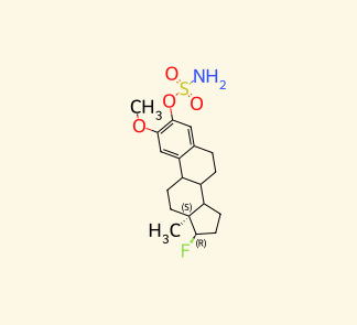 COc1cc2c(cc1OS(N)(=O)=O)CCC1C2CC[C@@]2(C)C1CC[C@H]2F